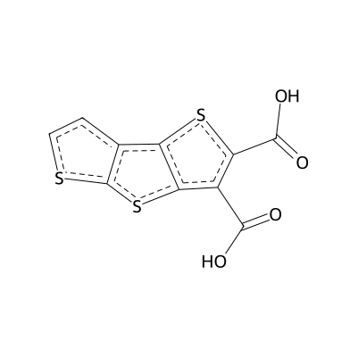 O=C(O)c1sc2c(sc3sccc32)c1C(=O)O